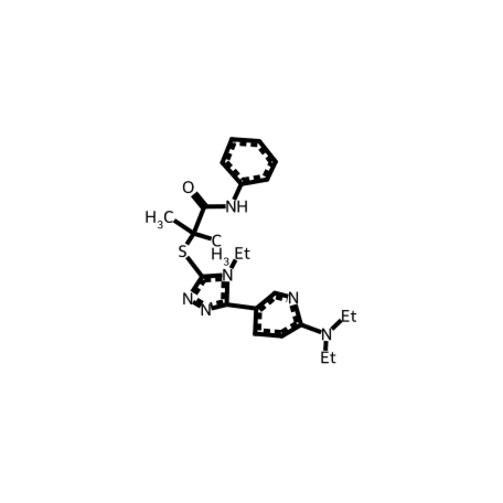 CCN(CC)c1ccc(-c2nnc(SC(C)(C)C(=O)Nc3ccccc3)n2CC)cn1